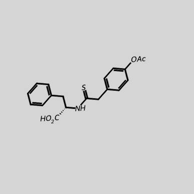 CC(=O)Oc1ccc(CC(=S)N[C@@H](Cc2ccccc2)C(=O)O)cc1